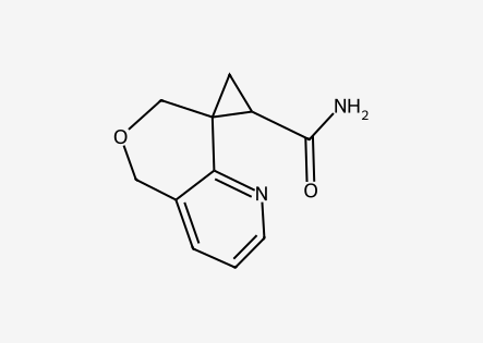 NC(=O)C1CC12COCc1cccnc12